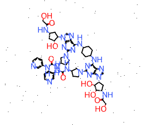 O=C(CO)N[C@@H]1C[C@@H](O)[C@H](n2cnc3c(N[C@H]4CC[C@H](Nc5nc(N6CCC(NC(=O)Nc7cccnc7)C6)nc6c5ncn6[C@@H]5C[C@H](NC(=O)CO)[C@@H](O)[C@H]5O)CC4)nc(N4CC[C@@H](NC(=O)Nc5cccnc5)C4)nc32)C1